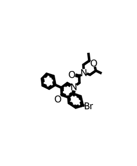 CC1CN(C(=O)Cn2cc(-c3ccccc3)c(=O)c3ccc(Br)cc32)CC(C)O1